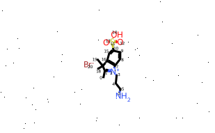 CC1=[N+](CCCN)c2ccc(S(=O)(=O)O)cc2C1(C)C.[Br-]